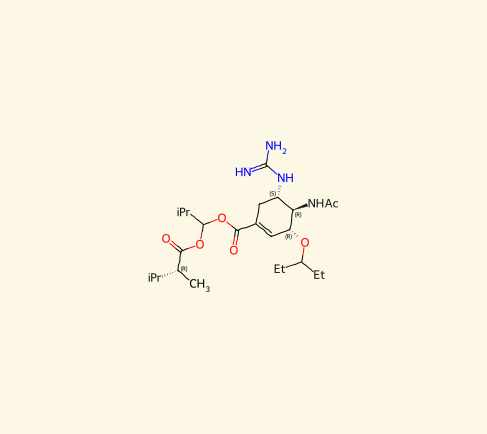 CCC(CC)O[C@@H]1C=C(C(=O)OC(OC(=O)[C@H](C)C(C)C)C(C)C)C[C@H](NC(=N)N)[C@H]1NC(C)=O